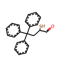 O=[C]C(S)CC(c1ccccc1)(c1ccccc1)c1ccccc1